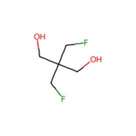 OCC(CO)(CF)CF